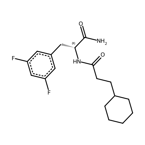 NC(=O)[C@@H](Cc1cc(F)cc(F)c1)NC(=O)CCC1CCCCC1